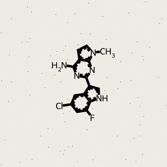 Cn1ccc2c(N)nc(-c3c[nH]c4c(F)cc(Cl)cc34)nc21